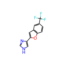 FC(F)(F)c1ccc2oc(-c3c[nH]cn3)cc2c1